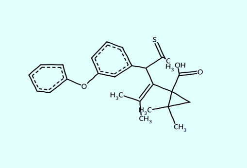 CC(=S)C(C(=C(C)C)C1(C(=O)O)CC1(C)C)c1cccc(Oc2ccccc2)c1